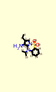 CCc1cn2c(c1N)N(C(C)C)c1ccccc1S2(=O)=O